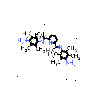 CC(=Nc1c(C)c(C)c(N)c(C)c1C)c1cccc(C(C)=Nc2c(C)c(C)c(N)c(C)c2C)n1